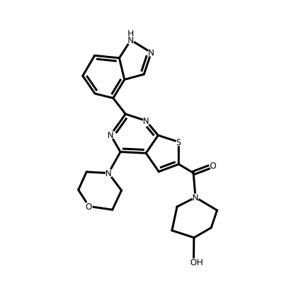 O=C(c1cc2c(N3CCOCC3)nc(-c3cccc4[nH]ncc34)nc2s1)N1CCC(O)CC1